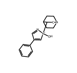 O[N+]1(C2CN3CCC2CC3)C=C(c2ccccc2)C=N1